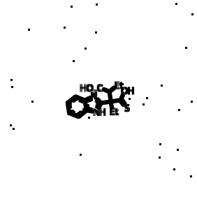 CCC(C(=O)O)C(CC)(C(O)=S)c1nc2ccccc2[nH]1